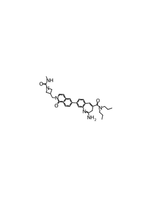 CCCN(CCC)C(=O)C1=Cc2ccc(-c3ccc4c(=O)n(CC5CN(C(=O)NC)C5)ccc4c3)cc2N=C(N)C1